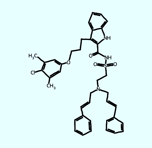 Cc1cc(OCCCc2c(C(=O)NS(=O)(=O)CCN(CC=Cc3ccccc3)CC=Cc3ccccc3)[nH]c3ccccc23)cc(C)c1Cl